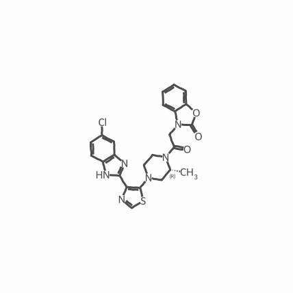 C[C@@H]1CN(c2scnc2-c2nc3cc(Cl)ccc3[nH]2)CCN1C(=O)Cn1c(=O)oc2ccccc21